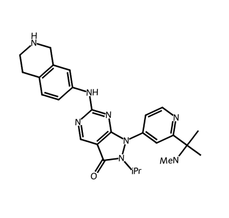 CNC(C)(C)c1cc(-n2c3nc(Nc4ccc5c(c4)CNCC5)ncc3c(=O)n2C(C)C)ccn1